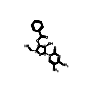 Nc1cn([C@@H]2O[C@H](CO)[C@@H](OC(=O)c3ccccc3)[C@@H]2O)c(=O)nc1N